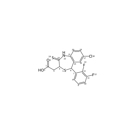 O=C(O)CC1SC(c2cccc(F)c2F)c2cc(Cl)ccc2NC1=S